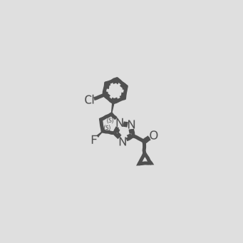 O=C(c1nc2n(n1)[C@H](c1ccccc1Cl)C[C@@H]2F)C1CC1